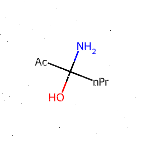 CCCC(N)(O)C(C)=O